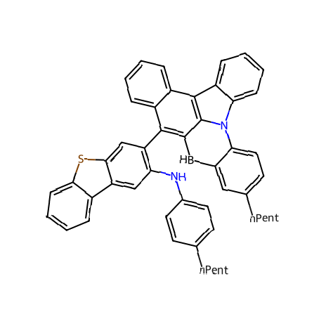 CCCCCc1ccc(Nc2cc3c(cc2-c2c4c5c(c6ccccc26)c2ccccc2n5-c2ccc(CCCCC)cc2B4)sc2ccccc23)cc1